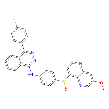 COc1cnc2c([S+]([O-])c3ccc(Nc4nnc(-c5ccc(F)cc5)c5ccccc45)cc3)ccnc2c1